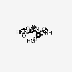 Cc1cc(Cl)cc(-c2ncnn3cc(Cn4c(=O)cc[nH]c4=O)cc23)c1C[C@@H]1CNCCO1.Cl